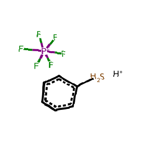 Cc1ccccc1.F[P-](F)(F)(F)(F)F.S.[H+]